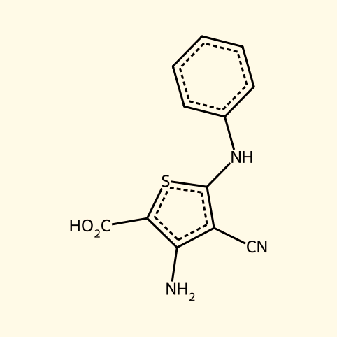 N#Cc1c(Nc2ccccc2)sc(C(=O)O)c1N